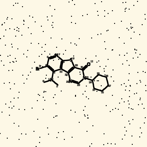 CN(C)c1c(Br)cnc2sc3c(=O)n(C4CCCCC4)cnc3c12